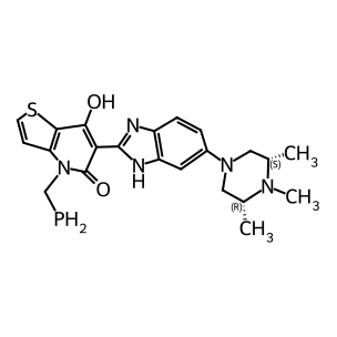 C[C@@H]1CN(c2ccc3nc(-c4c(O)c5sccc5n(CP)c4=O)[nH]c3c2)C[C@H](C)N1C